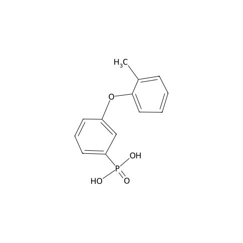 Cc1ccccc1Oc1cccc(P(=O)(O)O)c1